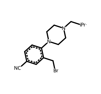 C[C](C)CN1CCN(c2ccc(C#N)cc2CBr)CC1